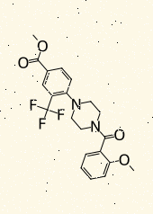 COC(=O)c1ccc(N2CCN(C(=O)c3ccccc3OC)CC2)c(C(F)(F)F)c1